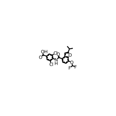 CC(C)c1cc2c(C(=O)Nc3c(Cl)cc(C(=O)O)cc3Cl)ccc(OC(F)F)c2o1